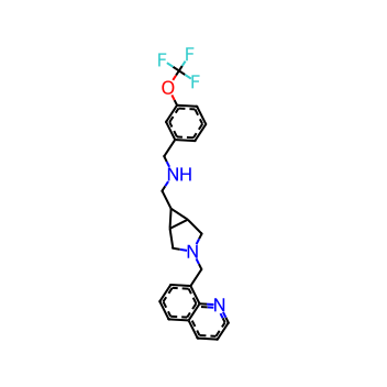 FC(F)(F)Oc1cccc(CNCC2C3CN(Cc4cccc5cccnc45)CC23)c1